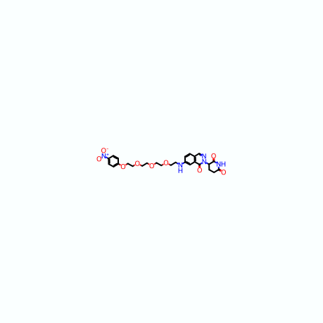 O=C1CCC(n2ncc3ccc(NCCOCCOCCOCCOc4ccc([N+](=O)[O-])cc4)cc3c2=O)C(=O)N1